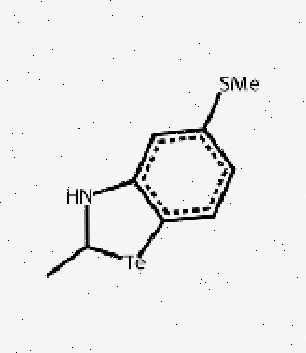 CSc1ccc2c(c1)NC(C)[Te]2